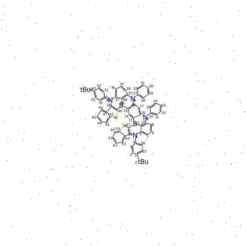 CC(C)(C)c1ccc(N2c3cccc4c3B(c3cc5c(cc3N4c3ccccc3)N(c3ccccc3)c3cccc4c3B5c3sc5ccccc5c3N4c3ccc(C(C)(C)C)cc3)c3sc4ccccc4c32)cc1